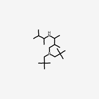 CC(C)C(C)NC(C)C(C)CN(CC(C)(C)C)CC(C)(C)C